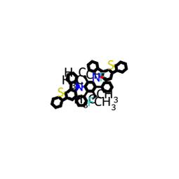 CC(C)(C)c1c(-c2ccccc2F)c(-n2c3ccccc3c3c4sc5ccccc5c4ccc32)c(C(C)(C)C)c(-n2c3ccccc3c3c4sc5ccccc5c4ccc32)c1-c1ccccc1F